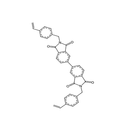 C=Cc1ccc(CN2C(=O)c3ccc(-c4ccc5c(c4)C(=O)N(Cc4ccc(C=C)cc4)C5=O)cc3C2=O)cc1